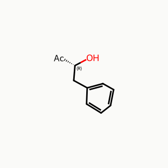 CC(=O)[C@H](O)Cc1ccccc1